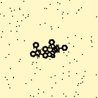 c1ccc(-c2nc(-c3ccccc3)nc(-c3cccc4c3C3(c5ccccc5Oc5ccccc53)c3cc(-c5nc(-c6ccccc6)c6ccccc6n5)ccc3-4)n2)cc1